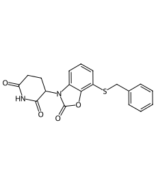 O=C1CCC(n2c(=O)oc3c(SCc4ccccc4)cccc32)C(=O)N1